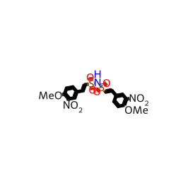 COc1ccc(/C=C/S(=O)(=O)NS(=O)(=O)/C=C/c2ccc(OC)c([N+](=O)[O-])c2)cc1[N+](=O)[O-]